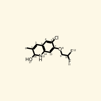 CC1=Cc2cc(Cl)c(OCC(F)F)cc2NC1O